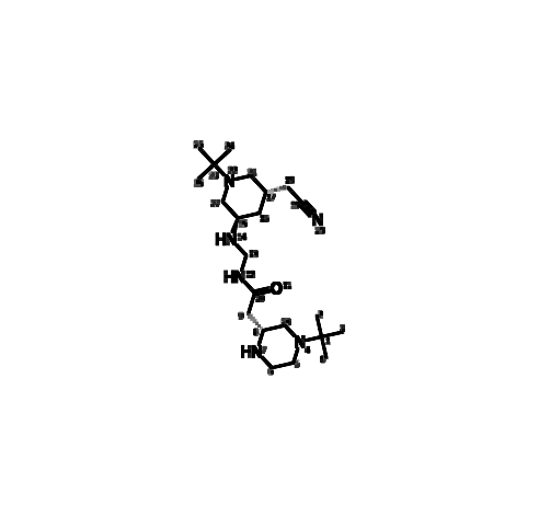 CC(C)(C)N1CCN[C@H](CC(=O)NCN[C@@H]2C[C@@H](CC#N)CN(C(C)(C)C)C2)C1